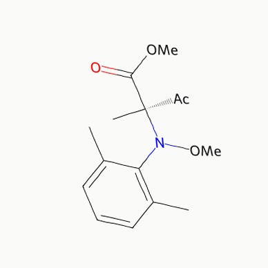 COC(=O)[C@@](C)(C(C)=O)N(OC)c1c(C)cccc1C